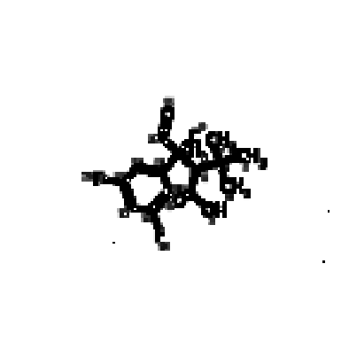 CC(C)(C)N(C(=O)O)C(C)(C=O)c1cc(F)cc(F)c1